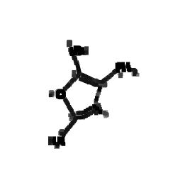 CC(C)(C)c1oc(N)nc1P